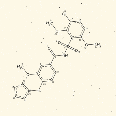 COc1cc(C(=O)NS(=O)(=O)c2c(OC)ccc(Cl)c2OC)ccc1Cn1cccn1